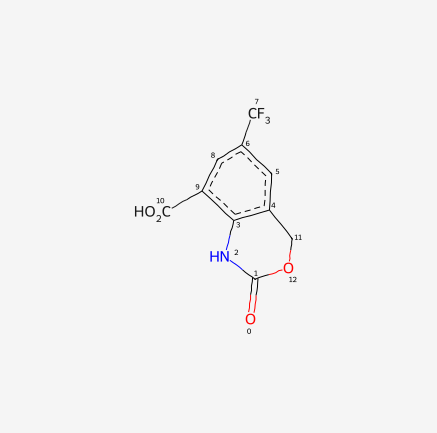 O=C1Nc2c(cc(C(F)(F)F)cc2C(=O)O)CO1